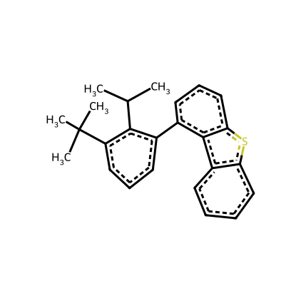 CC(C)c1c(-c2cccc3sc4ccccc4c23)cccc1C(C)(C)C